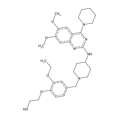 CCOc1cc(CN2CCC(Nc3nc(N4CCCCC4)c4cc(OC)c(OC)cc4n3)CC2)ccc1OCCO